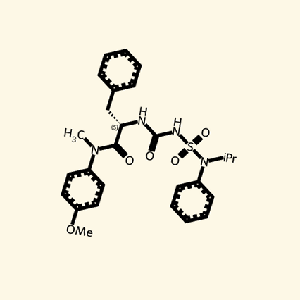 COc1ccc(N(C)C(=O)[C@H](Cc2ccccc2)NC(=O)NS(=O)(=O)N(c2ccccc2)C(C)C)cc1